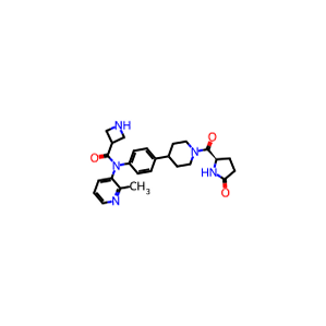 Cc1ncccc1N(C(=O)C1CNC1)c1ccc(C2CCN(C(=O)[C@H]3CCC(=O)N3)CC2)cc1